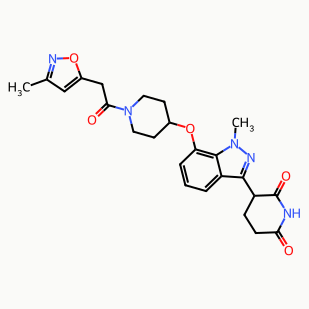 Cc1cc(CC(=O)N2CCC(Oc3cccc4c(C5CCC(=O)NC5=O)nn(C)c34)CC2)on1